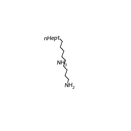 CCCCCCCCCCCCCCCCN.N